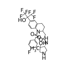 C[C@@]1(O)CNC[C@H]1NC(=O)CC1CCc2cc(C(O)(C(F)(F)F)C(F)(F)F)ccc2N1S(=O)(=O)c1ccc(F)cc1